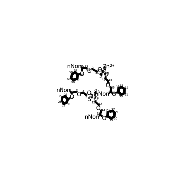 CCCCCCCCCC(COCCOP(=S)([S-])OCCOCC(CCCCCCCCC)Oc1ccccc1)Oc1ccccc1.CCCCCCCCCC(COCCOP(=S)([S-])OCCOCC(CCCCCCCCC)Oc1ccccc1)Oc1ccccc1.[Zn+2]